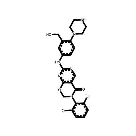 O=C1c2cnc(Nc3ccc(N4CCNCC4)c(CO)c3)nc2OCN1c1c(Cl)cccc1Cl